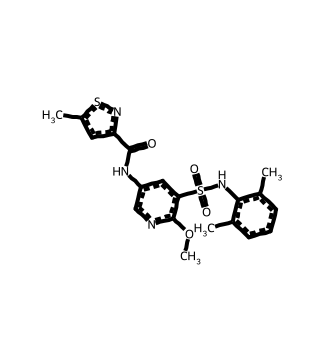 COc1ncc(NC(=O)c2cc(C)sn2)cc1S(=O)(=O)Nc1c(C)cccc1C